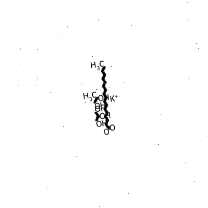 CC(O)CO.CCCCCCCCCCCCCCCCCC(=O)[O-].OCC(O)CO.[K+]